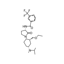 CCOC[C@H]1C[C@H](N(C)C(C)C)CC[C@@H]1N1CC[C@H](NC(=O)c2cccc(C(F)(F)F)c2)C1=O